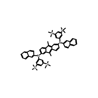 Cc1c2ccc(N(c3cc([Si](C)(C)C)cc([Si](C)(C)C)c3)c3ccc4ccccc4c3)cc2c(C)c2ccc(N(c3cc([Si](C)(C)C)cc([Si](C)(C)C)c3)c3ccc4ccccc4c3)cc12